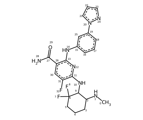 CNC1CCCC(F)(F)C1Nc1nc(Nc2cccc(-n3cccn3)c2)c(C(N)=O)cc1F